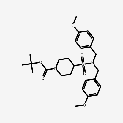 COc1ccc(CN(Cc2ccc(OC)cc2)S(=O)(=O)C2CCN(C(=O)OC(C)(C)C)CC2)cc1